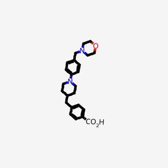 O=C(O)c1ccc(CC2CCN(c3ccc(CN4CCOCC4)cc3)CC2)cc1